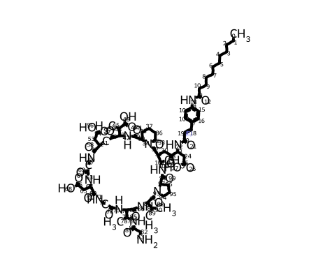 CCCCCCCCCCCC(=O)Nc1ccc(/C=C/C(=O)NC(CC(=O)O)C(=O)CC2C(=O)N3CCCCC3C(=O)NC(C(C)C(=O)O)C(=O)CC(CC(=O)O)C(=O)NCC(=O)NC(CC(=O)O)C(=O)NCC(=O)NC(C(C)NC(=O)CN)C(=O)NC(C(C)C)C(=O)N3CCCC3C(=O)NC2C)cc1